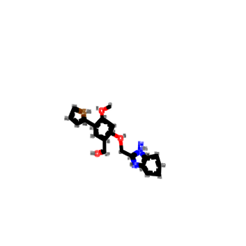 COc1cc(OCc2nc3ccccc3[nH]2)c(C=O)cc1-c1cccs1